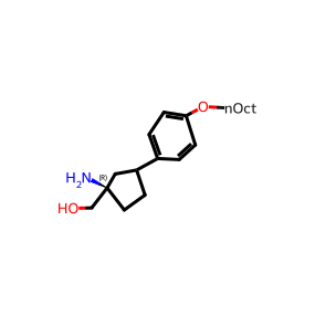 CCCCCCCCOc1ccc(C2CC[C@](N)(CO)C2)cc1